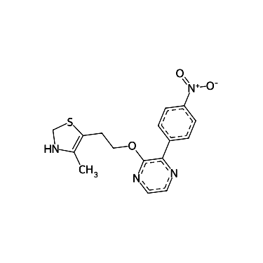 CC1=C(CCOc2nccnc2-c2ccc([N+](=O)[O-])cc2)SCN1